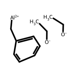 CC[O-].CC[O-].[Al+2][CH2]c1ccccc1